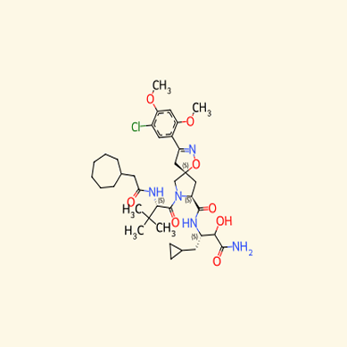 COc1cc(OC)c(C2=NO[C@]3(C2)C[C@@H](C(=O)N[C@@H](CC2CC2)C(O)C(N)=O)N(C(=O)[C@@H](NC(=O)CC2CCCCCC2)C(C)(C)C)C3)cc1Cl